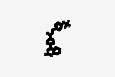 O=C(C=Cc1ccc(OC(F)(F)F)cc1)c1ccc(-c2cc(=O)oc3ccccc23)cc1